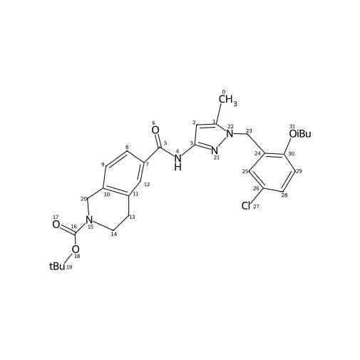 Cc1cc(NC(=O)c2ccc3c(c2)CCN(C(=O)OC(C)(C)C)C3)nn1Cc1cc(Cl)ccc1OCC(C)C